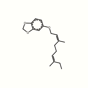 CCC(C)=CCCC(C)=CCOc1ccc2c(c1)OCO2